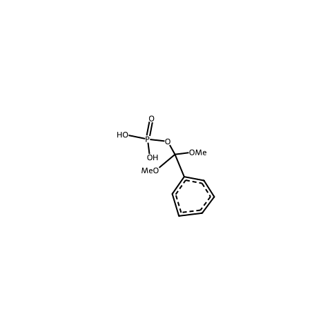 COC(OC)(OP(=O)(O)O)c1ccccc1